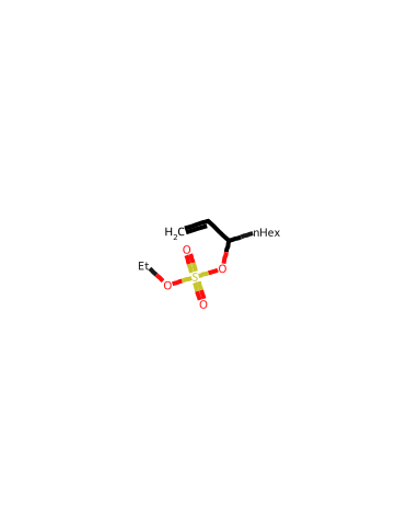 C=CC(CCCCCC)OS(=O)(=O)OCC